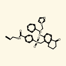 C=CCNC(=O)c1ccc(S(=O)(=O)Cc2c(O[C@H](Cn3ccnc3)c3ccccc3)ccc3c2CCCC3=O)cc1